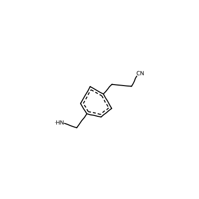 N#CCCc1ccc(C[NH])cc1